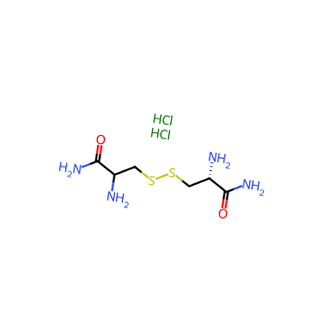 Cl.Cl.NC(=O)C(N)CSSC[C@H](N)C(N)=O